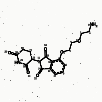 NCCOCCOc1cccc2c1C(=O)N(C1CCC(=O)NC1=O)C2=O